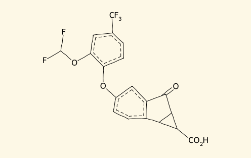 O=C(O)C1C2C(=O)c3cc(Oc4ccc(C(F)(F)F)cc4OC(F)F)ccc3C12